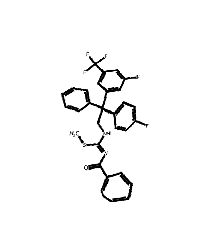 CSC(=NC(=O)c1ccccc1)NCC(c1ccccc1)(c1ccc(F)cc1)c1cc(F)cc(C(F)(F)F)c1